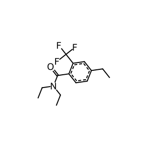 CCc1ccc(C(=O)N(CC)CC)c(C(F)(F)F)c1